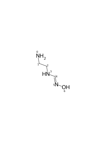 NCCN[C]=NO